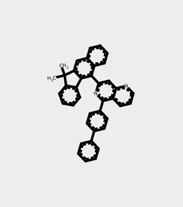 CC1(C)c2ccccc2-c2c1cc1ccccc1c2-c1cc2ncccc2c(-c2ccc(-c3ccccc3)cc2)n1